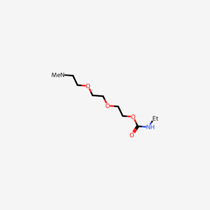 CCNC(=O)OCCOCCOCCNC